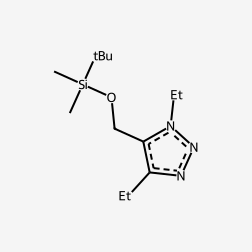 CCc1nnn(CC)c1CO[Si](C)(C)C(C)(C)C